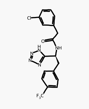 O=C(Cc1cccc(Cl)c1)N[C@@H](Cc1ccc(C(F)(F)F)cc1)c1nnn[nH]1